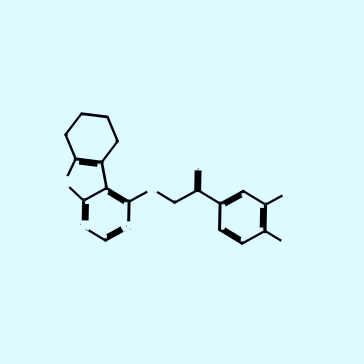 O=C(CSc1ncnc2sc3c(c12)CCCC3)c1ccc(O)c(O)c1